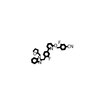 N#Cc1ccc(COc2cccc(-c3ccc(Cc4nc5ccccc5n4CC4CCCO4)c(F)c3)n2)c(F)c1